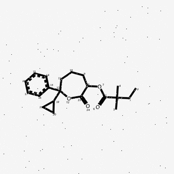 CCC(C)(C)C(=O)OC1CCCC(c2ccccc2)(C2CC2)OC1=O